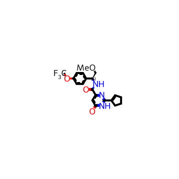 COC[C@@H](NC(=O)c1cc(=O)[nH]c(C2=CCCC2)n1)c1ccc(OC(F)(F)F)cc1